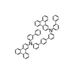 c1ccc(-c2cccc(N(c3cccc(-c4ccc(-c5cccc(N(c6cccc(-c7ccccc7)c6)c6ccc7c8ccccc8c8ccccc8c7c6)c5)cc4)c3)c3ccc4c5ccccc5c5ccccc5c4c3)c2)cc1